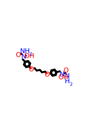 NC(=O)N(O)Cc1ccc(OCCCCCOc2ccc(CN(O)C(N)=O)cc2)cc1